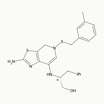 Cc1cccc(CSN2C=C(N[C@@H](CO)CC(C)C)c3nc(N)sc3C2)c1